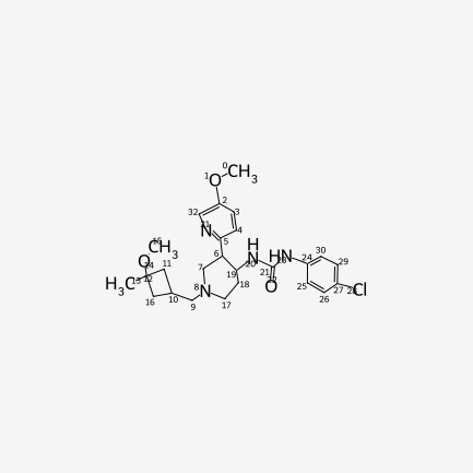 COc1ccc(C2CN(CC3CC(C)(OC)C3)CCC2NC(=O)Nc2ccc(Cl)cc2)nc1